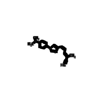 C#C/C(C)=C/C=C\c1cn(-c2ccc(N(C)C)cc2)cn1